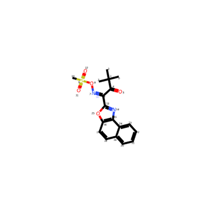 CC(C)(C)C(=O)/C(=N\OS(C)(=O)=O)c1nc2c(ccc3ccccc32)o1